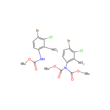 CC(C)(C)OC(=O)N(C(=O)OC(C)(C)C)c1ccc(Br)c(Cl)c1[N+](=O)[O-].CC(C)(C)OC(=O)Nc1ccc(Br)c(Cl)c1[N+](=O)[O-]